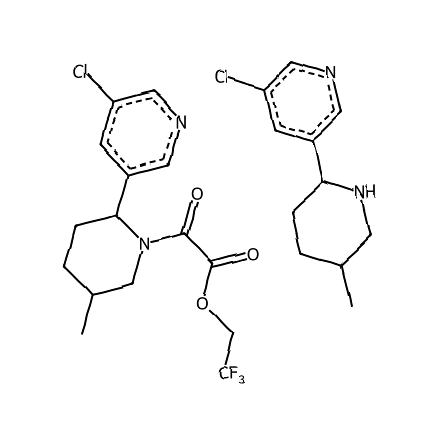 CC1CCC(c2cncc(Cl)c2)N(C(=O)C(=O)OCC(F)(F)F)C1.CC1CCC(c2cncc(Cl)c2)NC1